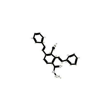 COC(=O)c1ccc(/C=C/c2ccccc2)c(C#N)c1/C=C/c1ccccc1